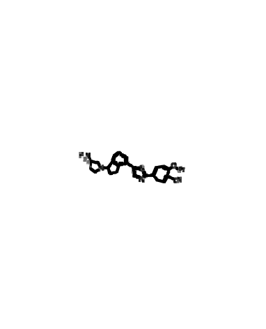 CC(C)OC1=CC=C(c2ncc(-c3cccc4c3CCC4N3CC[C@@H](N)C3)s2)CC=C1C#N